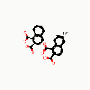 O=C([O-])c1ccc2ccccc2c1C(=O)[O-].O=C([O-])c1ccc2ccccc2c1C(=O)[O-].[Ti+4]